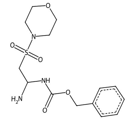 NC(CS(=O)(=O)N1CCOCC1)NC(=O)OCc1ccccc1